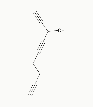 C#CCCC#CC(O)C#C